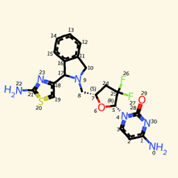 Nc1ccn([C@@H]2O[C@H](CN3Cc4ccccc4C3c3csc(N)n3)CC2(F)F)c(=O)n1